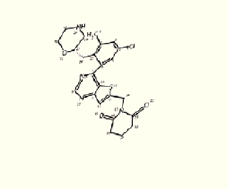 Cc1cc(Cl)cc(-c2ncnc3cc(CN4C(=O)CCCC4=O)sc23)c1C[C@H]1CNCCO1